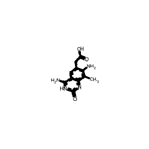 Cc1c(N)c(CC(=O)O)cc2c(N)[nH]c(=O)nc12